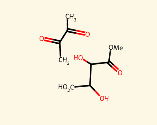 CC(=O)C(C)=O.COC(=O)C(O)C(O)C(=O)O